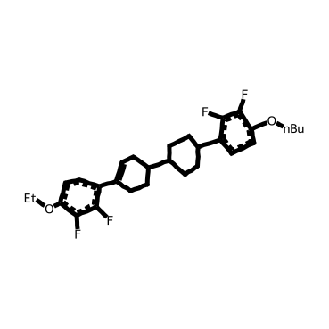 CCCCOc1ccc(C2CCC(C3CC=C(c4ccc(OCC)c(F)c4F)CC3)CC2)c(F)c1F